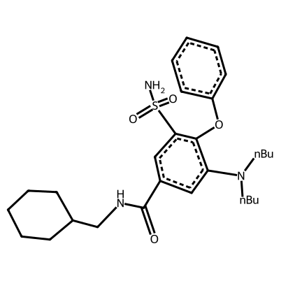 CCCCN(CCCC)c1cc(C(=O)NCC2CCCCC2)cc(S(N)(=O)=O)c1Oc1ccccc1